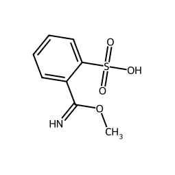 COC(=N)c1ccccc1S(=O)(=O)O